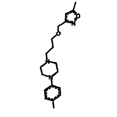 Cc1ccc(N2CCN(CCCOCc3cc(C)on3)CC2)cc1